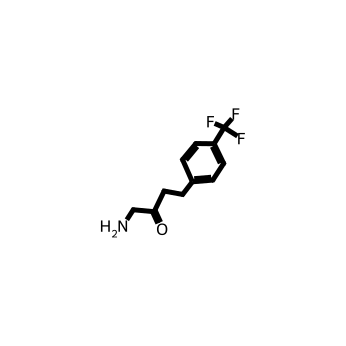 NCC(=O)CCc1ccc(C(F)(F)F)cc1